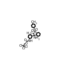 Cc1ccc(S(=O)(=O)OC(C)C(N)(c2ccccc2)c2cccc(NC(=O)OCC(Cl)(Cl)Cl)c2)cc1